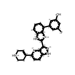 Oc1cc(F)cc(-c2cccc3[nH]c(-c4n[nH]c5ccc(C6=CCNCC6)nc45)nc23)c1